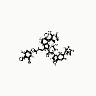 Cc1cc(OCCCc2c3n(c4c(-c5c(C)nn(C)c5C)c(Cl)ccc24)C(C)CN(c2cn(C)c4ccc(-n5cncn5)cc24)C3=O)cc(C)c1Cl